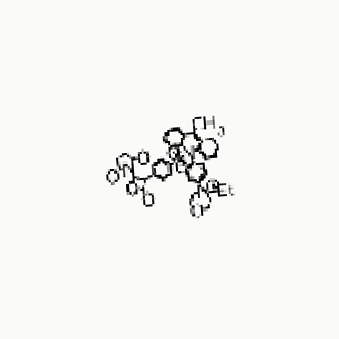 CCO[N+]1(c2ccc([N+]3(S(=O)(=O)c4ccc(C5C(=O)OC5N5C(=O)CCC5=O)cc4)C4=CC=CCC4=C(C)c4ccccc43)cc2)CCOCC1